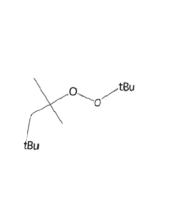 CC(C)(C)CC(C)(C)OOC(C)(C)C